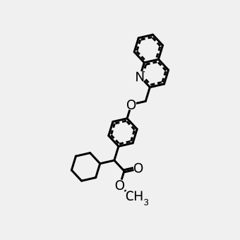 COC(=O)C(c1ccc(OCc2ccc3ccccc3n2)cc1)C1CCCCC1